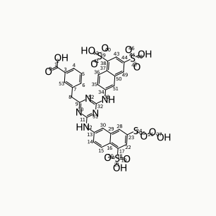 O=C(O)c1cccc(Cc2nc(Nc3ccc4c(S(=O)(=O)O)cc(SOOO)cc4c3)nc(Nc3ccc4c(S(=O)(=O)O)cc(S(=O)(=O)O)cc4c3)n2)c1